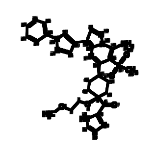 COCCO[C@]1(C(=O)c2nnc[nH]2)CC[C@H](c2nc3c(-c4cnn(-c5ccccc5)c4)cnn3c(N)c2S(C)(=O)=O)CC1